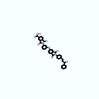 O=C(O)c1ccc2c(c1)C(=O)N(c1cccc(Oc3ccc4c(c3)C(=O)N(c3ccc(C=CC(=O)c5ccccc5)cc3)C4=O)c1)C2=O